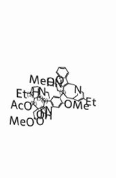 CCC1=CC2CN(C1)Cc1c([nH]c3ccccc13)[C@@](CC(=O)OC)(c1cc3c(cc1OC)N(C)[C@H]1C(O)(CC(=O)OC)[C@H](OC(C)=O)C4[C@@H](CC)CCN5CC[C@]31[C@H]45)C2